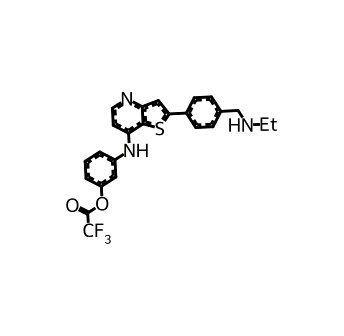 CCNCc1ccc(-c2cc3nccc(Nc4cccc(OC(=O)C(F)(F)F)c4)c3s2)cc1